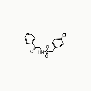 O=C(CNS(=O)(=O)Cc1ccc(Cl)cc1)c1ccccc1